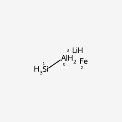 [AlH2][SiH3].[Fe].[LiH]